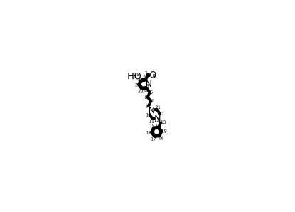 O=Cc1nc(CCCCN2CCN(Cc3ccccc3)CC2)ccc1O